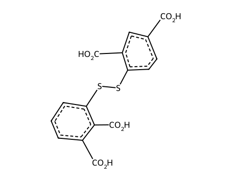 O=C(O)c1ccc(SSc2cccc(C(=O)O)c2C(=O)O)c(C(=O)O)c1